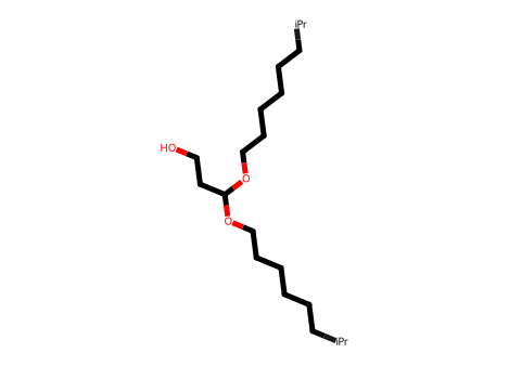 CC(C)CCCCCCOC(CCO)OCCCCCCC(C)C